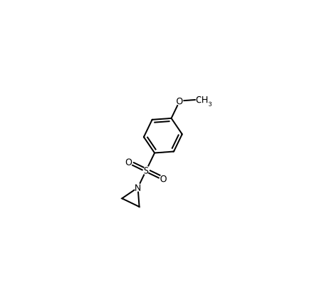 COc1ccc(S(=O)(=O)N2CC2)cc1